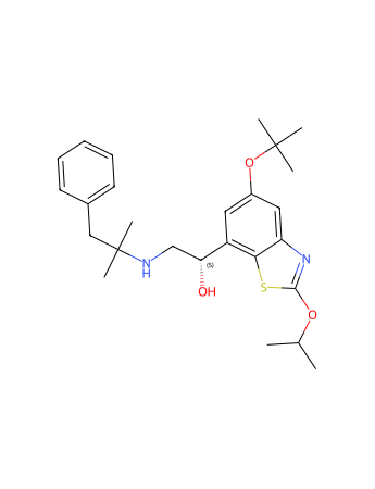 CC(C)Oc1nc2cc(OC(C)(C)C)cc([C@H](O)CNC(C)(C)Cc3ccccc3)c2s1